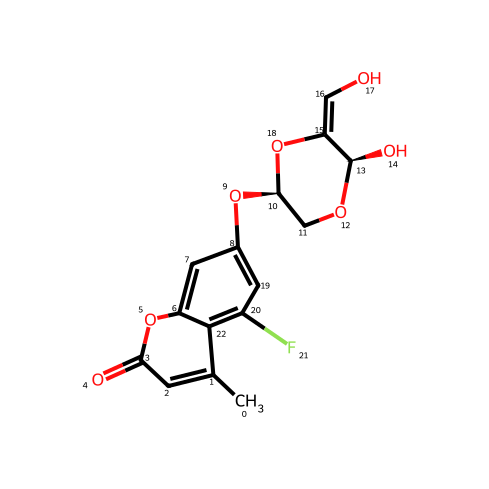 Cc1cc(=O)oc2cc(O[C@@H]3CO[C@H](O)/C(=C\O)O3)cc(F)c12